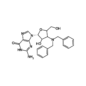 Nc1nc2c(ncn2[C@@H]2OC(CO)C(N(Cc3ccccc3)Cc3ccccc3)C2O)c(=O)[nH]1